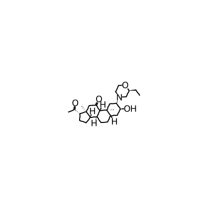 CC[C@H]1CN([C@H]2C[C@@]3(C)[C@@H](CC[C@H]4[C@@H]5CC[C@H](C(C)=O)[C@@]5(C)CC(=O)[C@@H]43)C[C@@H]2O)CCO1